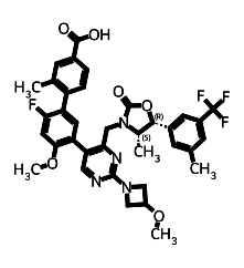 COc1cc(F)c(-c2ccc(C(=O)O)cc2C)cc1-c1cnc(N2CC(OC)C2)nc1CN1C(=O)O[C@H](c2cc(C)cc(C(F)(F)F)c2)[C@@H]1C